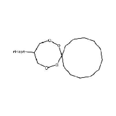 CCCCCCCC1COOC2(CCCCCCCCCCC2)OOC1